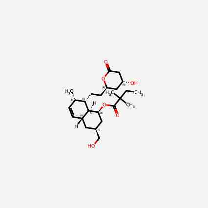 CCC(C)(C)C(=O)O[C@H]1C[C@@H](CO)C[C@@H]2C=C[C@H](C)[C@H](CC[C@@H]3C[C@@H](O)CC(=O)O3)[C@@H]12